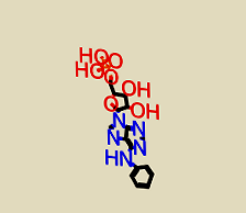 O=P(O)(O)OCC1OC(n2cnc3c(Nc4ccccc4)ncnc32)C(O)C1O